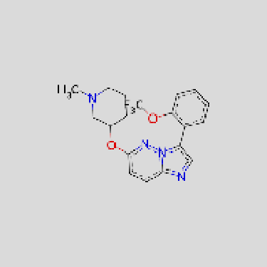 CN1CCCC(Oc2ccc3ncc(-c4ccccc4OC(F)(F)F)n3n2)C1